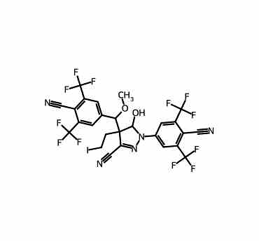 COC(c1cc(C(F)(F)F)c(C#N)c(C(F)(F)F)c1)C1(CCI)C(C#N)=NN(c2cc(C(F)(F)F)c(C#N)c(C(F)(F)F)c2)C1O